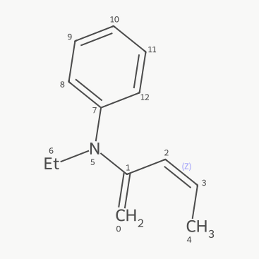 C=C(/C=C\C)N(CC)c1ccccc1